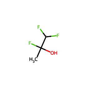 CC(O)(F)[C](F)F